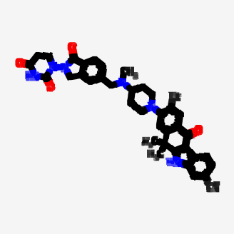 CCc1cc2c(cc1N1CCC(N(C)Cc3ccc4c(c3)CN(N3CCC(=O)NC3=O)C4=O)CC1)C(C)(C)c1[nH]c3cc(C#N)ccc3c1C2=O